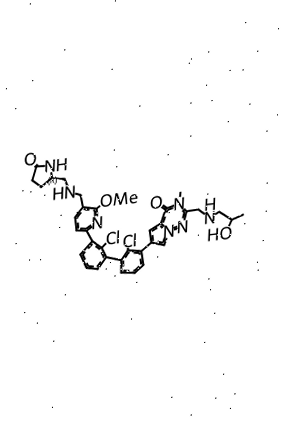 COc1nc(-c2cccc(-c3cccc(-c4cc5c(=O)n(C)c(CNCC(C)O)nn5c4)c3Cl)c2Cl)ccc1CNC[C@H]1CCC(=O)N1